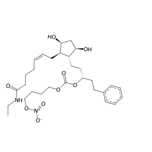 CCNC(=O)CCC/C=C\C[C@@H]1[C@@H](CC[C@H](CCc2ccccc2)OC(=O)OCCCCO[N+](=O)[O-])[C@H](O)C[C@@H]1O